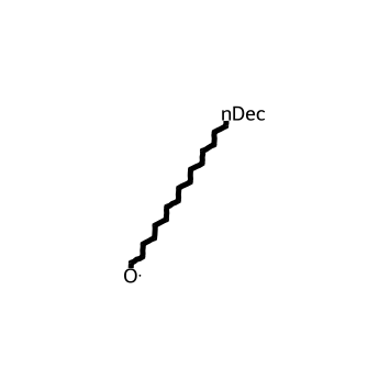 CCCCCCCCCCCCCCCCCCCCCCCCCC[O]